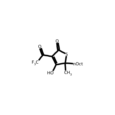 CCCCCCCCC1(C)SC(=O)C(C(=O)C(F)(F)F)=C1O